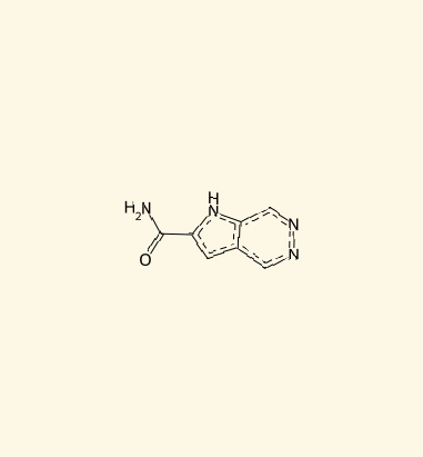 NC(=O)c1cc2cnncc2[nH]1